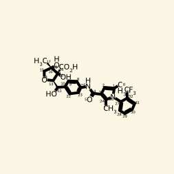 Cc1cc(C(=O)Nc2ccc(C(O)[C@H]3O[CH][C@](C)(O)[C@@]3(O)C(=O)O)cc2)c(C)n1-c1ccccc1C(F)(F)F